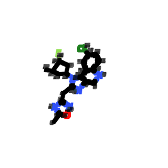 Cc1nc(Cc2nc3cnc4ccc(Cl)cc4c3n2C2CC(C)C(F)C2)no1